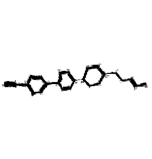 C#Cc1ccc(-c2ccc([C@H]3CC[C@H](CC/C=C/C)CC3)cc2)cc1